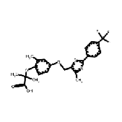 Cc1cc(OCc2sc(-c3ccc(C(F)(F)F)cc3)nc2C)ccc1OC(C)(C)C(=O)O